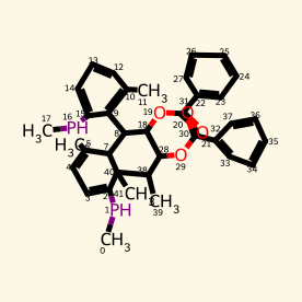 CPC1=CC=C(C)C2C(c3c(C)cccc3PC)C(OC(=O)c3ccccc3)C(OC(=O)c3ccccc3)C(C)C12C